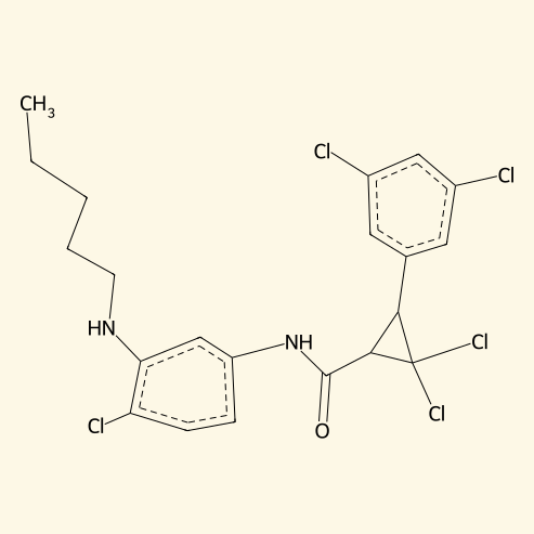 CCCCCNc1cc(NC(=O)C2C(c3cc(Cl)cc(Cl)c3)C2(Cl)Cl)ccc1Cl